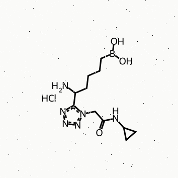 Cl.NC(CCCCB(O)O)c1nnnn1CC(=O)NC1CC1